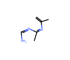 C=C(C)/N=C(C)\N=C/N